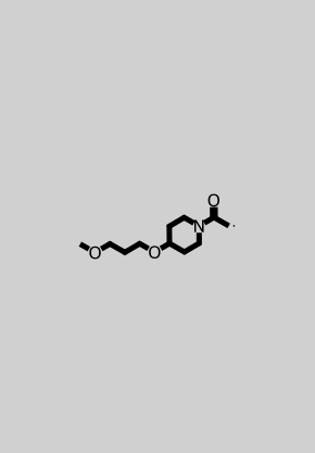 [CH2]C(=O)N1CCC(OCCCOC)CC1